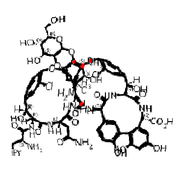 CC(C)C[C@H](N)C(=O)N[C@H]1C(=O)N[C@@H](CC(N)=O)C(=O)N[C@H]2C(=O)N[C@H]3C(=O)NC(C(=O)N[C@H](C(=O)O)c4cc(O)cc(O)c4-c4cc3ccc4O)[C@H](O)c3ccc(c(Cl)c3)Oc3cc2cc(c3OC2O[C@H](CO)[C@@H](O)[C@H](O)C2O[C@H]2C[C@](C)(N)[C@H](O)[C@H](C)O2)Oc2ccc(cc2Cl)[C@H]1O